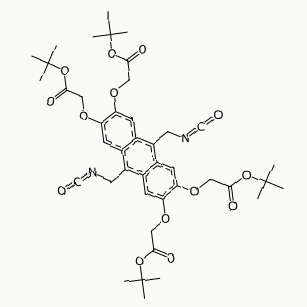 CC(C)(C)OC(=O)COc1cc2c(CN=C=O)c3cc(OCC(=O)OC(C)(C)C)c(OCC(=O)OC(C)(C)I)cc3c(CN=C=O)c2cc1OCC(=O)OC(C)(C)C